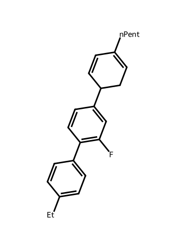 CCCCCC1=CCC(c2ccc(-c3ccc(CC)cc3)c(F)c2)C=C1